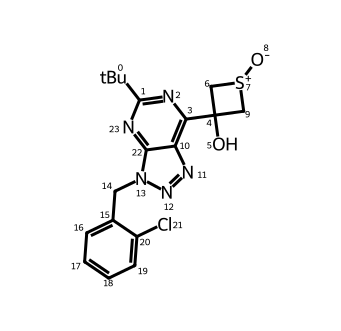 CC(C)(C)c1nc(C2(O)C[S+]([O-])C2)c2nnn(Cc3ccccc3Cl)c2n1